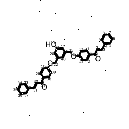 O=C(C=Cc1ccccc1)c1ccc(OCc2cc(O)cc(COc3ccc(C(=O)C=Cc4ccccc4)cc3)c2)cc1